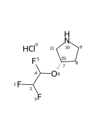 Cl.FC(F)C(F)O[C@H]1CCNC1